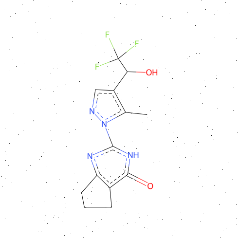 Cc1c(C(O)C(F)(F)F)cnn1-c1nc2c(c(=O)[nH]1)CCC2